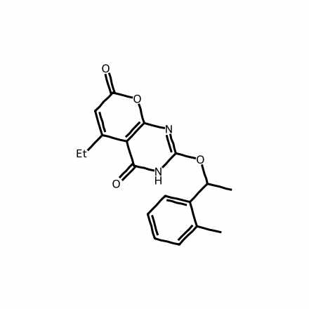 CCc1cc(=O)oc2nc(OC(C)c3ccccc3C)[nH]c(=O)c12